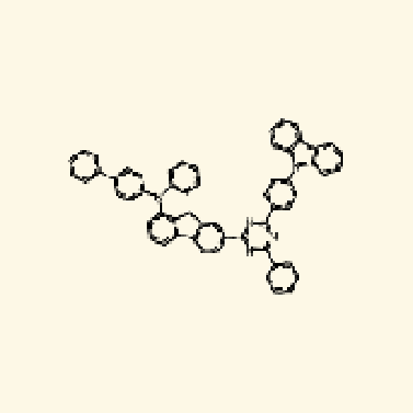 c1ccc(-c2ccc(N(c3ccccc3)c3cccc4c3Cc3cc(-c5nc(-c6ccccc6)nc(-c6ccc(-n7c8ccccc8c8ccccc87)cc6)n5)ccc3-4)cc2)cc1